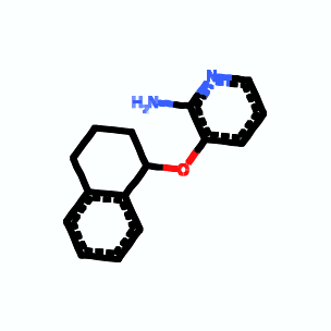 Nc1ncccc1OC1CCCc2ccccc21